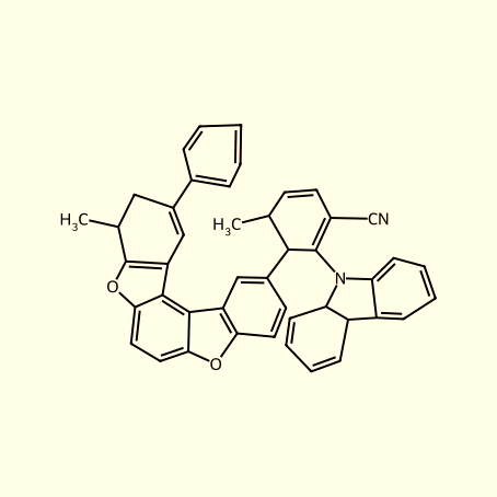 CC1CC(c2ccccc2)=Cc2c1oc1ccc3oc4ccc(C5C(N6c7ccccc7C7C=CC=CC76)=C(C#N)C=CC5C)cc4c3c21